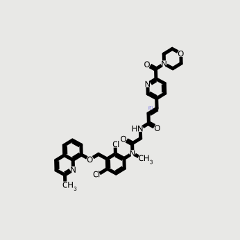 Cc1ccc2cccc(OCc3c(Cl)ccc(N(C)C(=O)CNC(=O)/C=C/c4ccc(C(=O)N5CCOCC5)nc4)c3Cl)c2n1